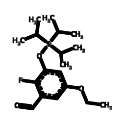 CCOc1cc(C=O)c(F)c(O[Si](C(C)C)(C(C)C)C(C)C)c1